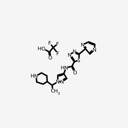 CC(C1CCNCC1)n1cc(NC(=O)c2nnc(-c3cnccn3)s2)cn1.O=C(O)C(F)(F)F